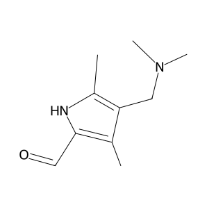 Cc1[nH]c(C=O)c(C)c1CN(C)C